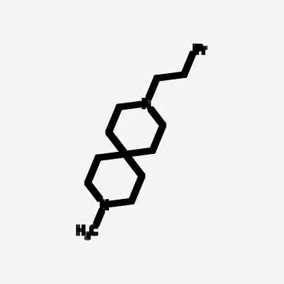 CC(C)CCN1CCC2(CCN(C)CC2)CC1